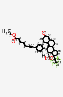 CCOC(=O)C=CC=CC#Cc1ccc([C@H]2C[C@@]3(C)C(CC[C@@]3(O)C(F)(F)C(F)(F)F)C3CCC4=CC(=O)CCC4=C32)cc1